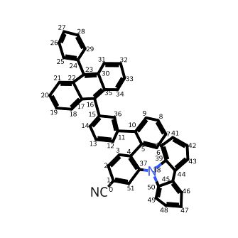 N#Cc1ccc(-c2ccccc2-c2cccc(-c3c4ccccc4c(-c4ccccc4)c4ccccc34)c2)c(-n2c3ccccc3c3ccccc32)c1